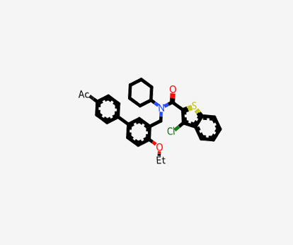 CCOc1ccc(-c2ccc(C(C)=O)cc2)cc1CN(C(=O)c1sc2ccccc2c1Cl)C1CCCCC1